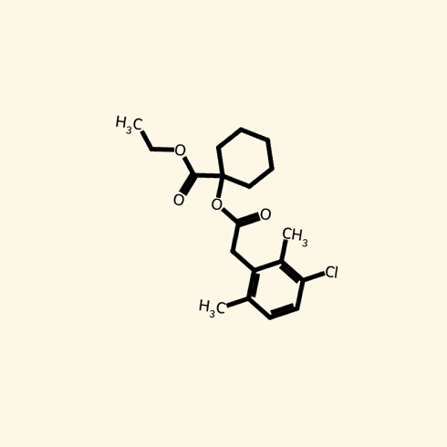 CCOC(=O)C1(OC(=O)Cc2c(C)ccc(Cl)c2C)CCCCC1